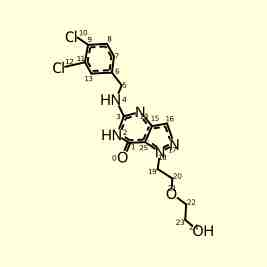 O=c1[nH]c(NCc2ccc(Cl)c(Cl)c2)nc2cnn(CCOCCO)c12